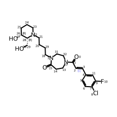 O=C(/C=C/c1ccc(Cl)c(F)c1)N1CCC(=O)N(CCCCN2CCC[C@@H](O)[C@H]2CO)CC1